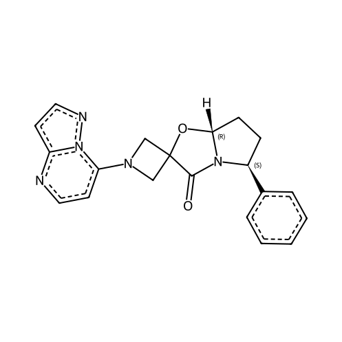 O=C1N2[C@@H](CC[C@H]2c2ccccc2)OC12CN(c1ccnc3ccnn13)C2